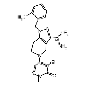 Cc1ccccc1Cn1nc([C@H](N)C(F)(F)F)c2c1CCN(c1cn[nH]c(=O)c1Cl)C2